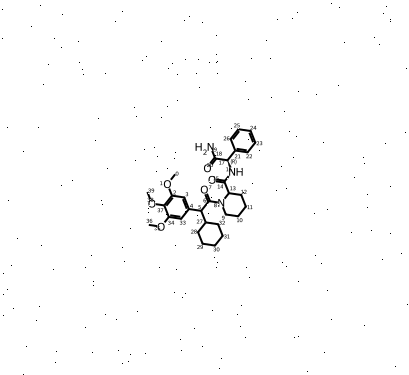 COc1cc(C(C(=O)N2CCCCC2C(=O)N[C@@H](C(N)=O)c2ccccc2)C2CCCCC2)cc(OC)c1OC